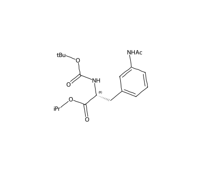 CC(=O)Nc1cccc(C[C@@H](NC(=O)OC(C)(C)C)C(=O)OC(C)C)c1